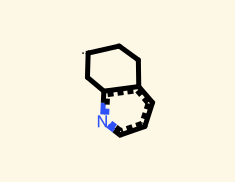 [CH]1CCc2cccnc2C1